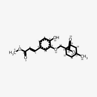 COC(=O)/C=C/c1ccc(O)c(OCC23CCC(C)(CC2)OC3=O)c1